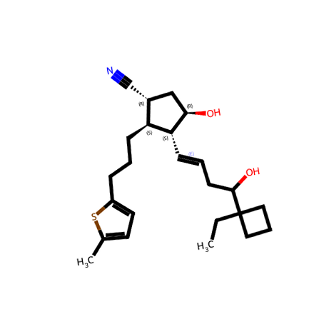 CCC1(C(O)C/C=C/[C@@H]2[C@@H](CCCc3ccc(C)s3)[C@H](C#N)C[C@H]2O)CCC1